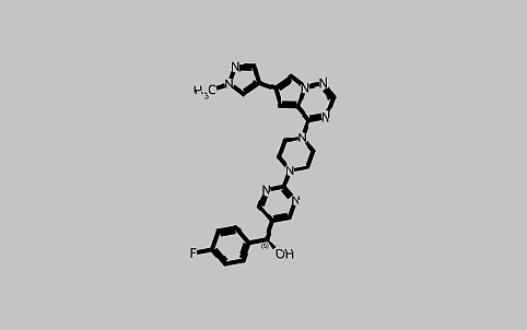 Cn1cc(-c2cc3c(N4CCN(c5ncc([C@@H](O)c6ccc(F)cc6)cn5)CC4)ncnn3c2)cn1